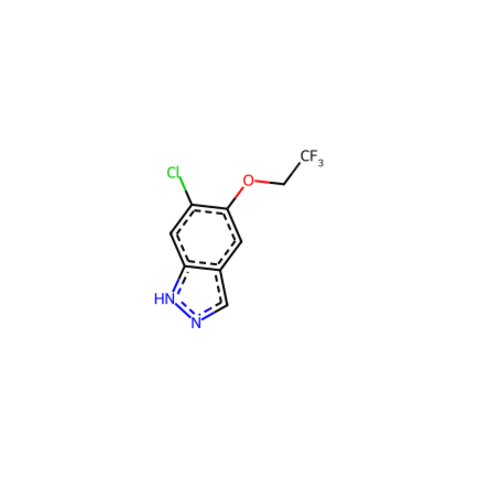 FC(F)(F)COc1cc2cn[nH]c2cc1Cl